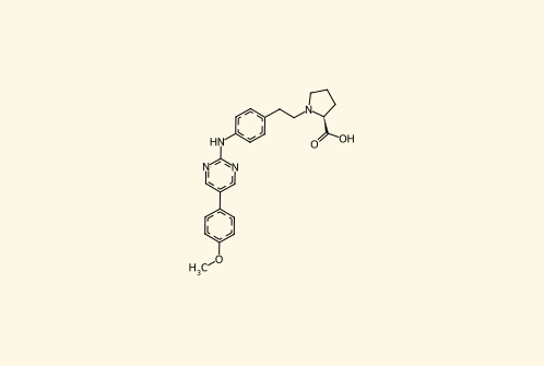 COc1ccc(-c2cnc(Nc3ccc(CCN4CCC[C@H]4C(=O)O)cc3)nc2)cc1